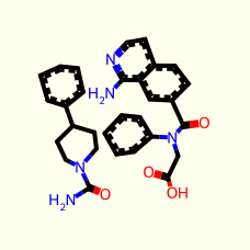 NC(=O)N1CCC(c2ccccc2)CC1.Nc1nccc2ccc(C(=O)N(CC(=O)O)c3ccccc3)cc12